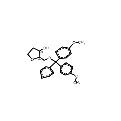 COc1ccc(C(OC[C@H]2OCC[C@H]2O)(c2ccccc2)c2ccc(OC)cc2)cc1